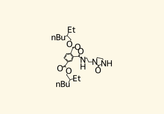 CCCCC(CC)COC(=O)c1ccc(C(=O)OCC(CC)CCCC)c(C(=O)NCCN2CCNC2=O)c1